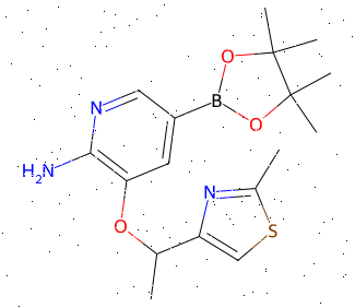 Cc1nc(C(C)Oc2cc(B3OC(C)(C)C(C)(C)O3)cnc2N)cs1